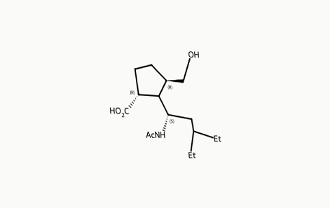 CCC(CC)C[C@H](NC(C)=O)C1[C@H](CO)CC[C@H]1C(=O)O